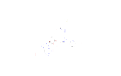 N[C@@H](CCS)C(=O)OC[C@H]1O[C@@H](n2cnc3c(O)ncnc32)[C@H](O)[C@@H]1OC(=O)[C@@H](N)Cc1ccc(O)cc1